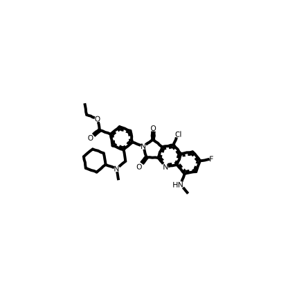 CCOC(=O)c1ccc(N2C(=O)c3nc4c(NC)cc(F)cc4c(Cl)c3C2=O)c(CN(C)C2CCCCC2)c1